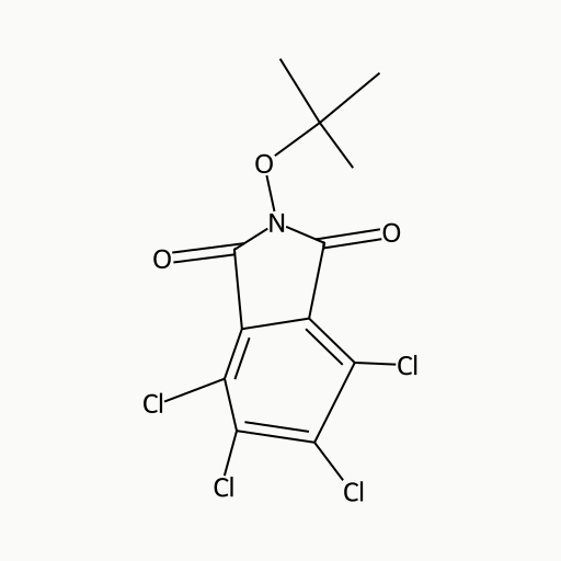 CC(C)(C)ON1C(=O)c2c(Cl)c(Cl)c(Cl)c(Cl)c2C1=O